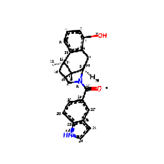 CC1(C)[C@H]2Cc3c(O)cccc3[C@]1(C)CCN2C(=O)c1ccc2[nH]ccc2c1